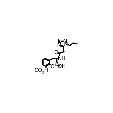 O=C(Cc1nnnn1CCF)NC1Cc2cccc(C(=O)O)c2OB1O